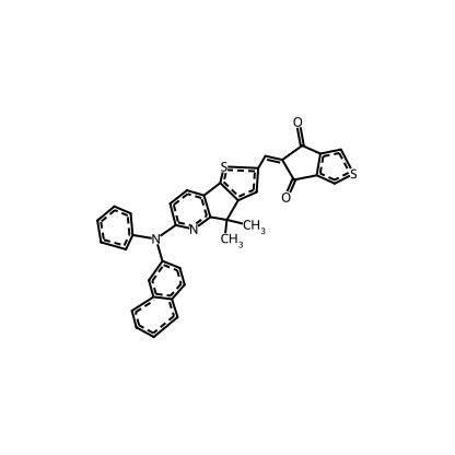 CC1(C)c2cc(C=C3C(=O)c4cscc4C3=O)sc2-c2ccc(N(c3ccccc3)c3ccc4ccccc4c3)nc21